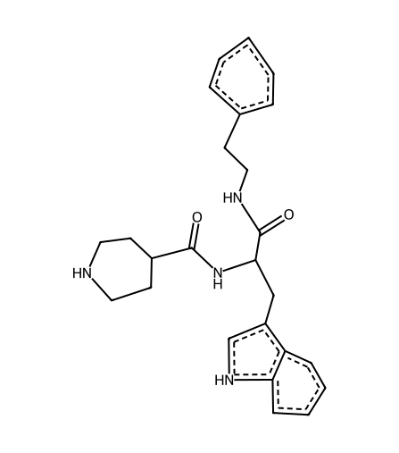 O=C(NC(Cc1c[nH]c2ccccc12)C(=O)NCCc1ccccc1)C1CCNCC1